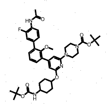 COc1c(-c2cc(OC3CCC(NC(=O)OC(C)(C)C)CC3)nc(N3CCN(C(=O)OC(C)(C)C)CC3)c2)cccc1-c1ccc(NC(C)=O)c(F)c1